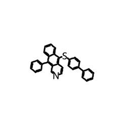 c1ccc(-c2ccc(Sc3c4ccccc4c(-c4ccccc4)c4cnccc34)cc2)cc1